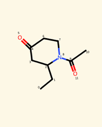 CCC1CC(=O)CCN1C(C)=O